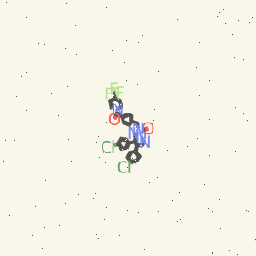 O=C(c1ccc(Cn2nc3c(-c4ccc(Cl)cc4)c(-c4ccc(Cl)cc4)cnn3c2=O)cc1)N1CCC(C(F)(F)F)CC1